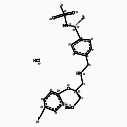 COC[C@H](CNCc1ccc([C@@H](C)NS(C)(=O)=O)cc1)Oc1ccc(F)cn1.Cl